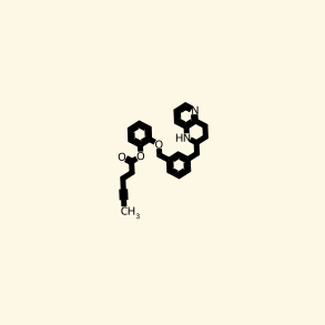 CC#CCCC(=O)Oc1ccccc1OCc1cccc(CC2CCc3ncccc3N2)c1